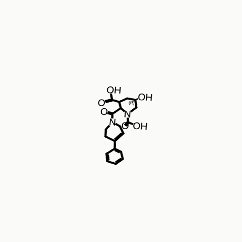 O=C(O)C1C[C@@H](O)CN(C(=O)O)C1C(=O)N1CC=C(c2ccccc2)CC1